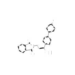 CC(=CCN1C(=O)c2ccccc2C1=O)c1ccc(-c2ccc(Cl)cc2)cc1